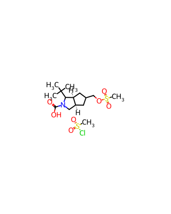 CC(C)(C)C1[C@H]2CC(COS(C)(=O)=O)C[C@H]2CN1C(=O)O.CS(=O)(=O)Cl